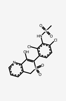 CS(=O)(=O)Nc1c(Cl)ccc(C2=C(O)c3ncccc3CS2(=O)=O)c1Cl